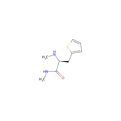 CNC(=O)[C@H](Cc1cccs1)NC